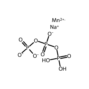 O=P([O-])([O-])OP(=O)([O-])OP(=O)(O)O.[Mn+2].[Na+]